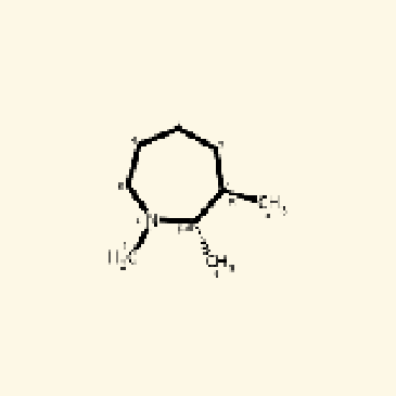 C[C@@H]1CCCCN(C)[C@H]1C